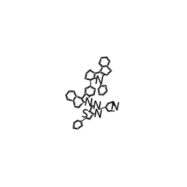 c1ccc(-c2cc3nc(-c4ccncc4)nc(-n4c5ccc(-c6cccc7c8c9ccccc9ccc8n(-c8ccccc8)c67)cc5c5c6ccccc6ccc54)c3s2)cc1